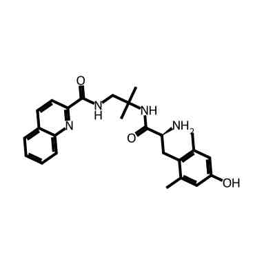 Cc1cc(O)cc(C)c1C[C@H](N)C(=O)NC(C)(C)CNC(=O)c1ccc2ccccc2n1